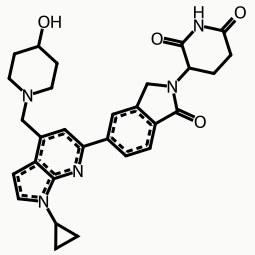 O=C1CCC(N2Cc3cc(-c4cc(CN5CCC(O)CC5)c5ccn(C6CC6)c5n4)ccc3C2=O)C(=O)N1